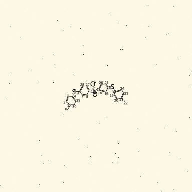 Cc1ccc(Sc2ccc(S(=O)(=O)c3ccc(Sc4ccc(C)cc4)cc3)cc2)cc1